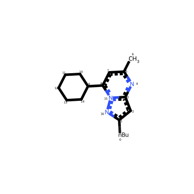 CCCCc1cc2nc(C)cc(C3CCCCC3)n2n1